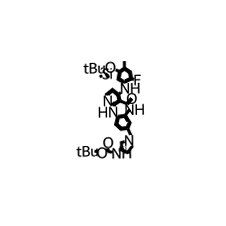 Cc1cc(F)c(Nc2ccnc3c2C(=O)Nc2cc(CN4CC[C@H](NC(=O)OC(C)(C)C)C4)ccc2N3)cc1O[Si](C)(C)C(C)(C)C